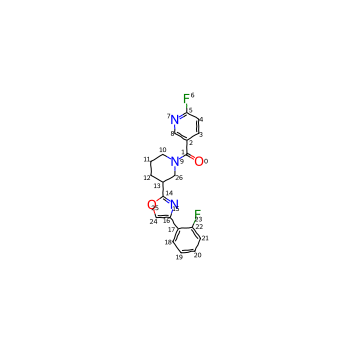 O=C(c1ccc(F)nc1)N1CCCC(c2nc(-c3ccccc3F)co2)C1